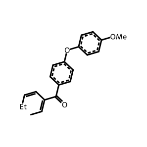 C/C=C(\C=C/CC)C(=O)c1ccc(Oc2ccc(OC)cc2)cc1